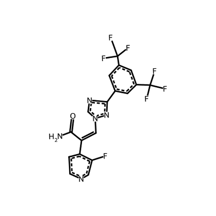 NC(=O)C(=Cn1cnc(-c2cc(C(F)(F)F)cc(C(F)(F)F)c2)n1)c1ccncc1F